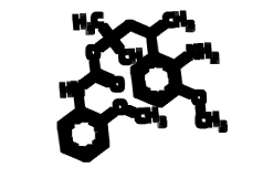 COc1ccccc1NC(=O)OC(C)(C)CC(C)c1cccc(OC)c1N